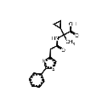 CC(NC(=O)Cc1csc(-c2ccccc2)n1)(C(=O)O)C1CC1